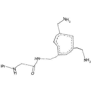 CC(C)NCC(=O)NCc1cc(CN)cc(CN)c1